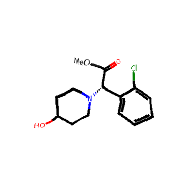 COC(=O)[C@H](c1ccccc1Cl)N1CCC(O)CC1